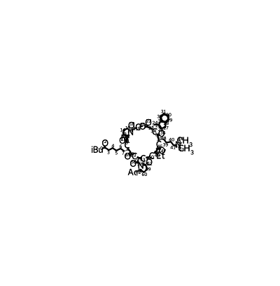 CCC(C)C(=O)CCCCC[C@@H]1CC(=O)[C@@H]2CCCN2C(=O)COC(=O)[C@H](CC2=CCc3ccccc32)CC(=O)[C@H](CCCCN(C)C)CC(=O)C(CC)CC(=O)C[C@@H](C(=O)N2CCC[C@H]2C(C)=O)CC1=O